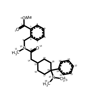 COC(=O)c1ccccc1CN(C)C(=O)CC1CCC(c2ccccc2)(N(C)C)CC1